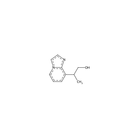 CC(CO)c1cccn2ccnc12